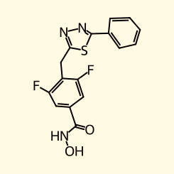 O=C(NO)c1cc(F)c(Cc2nnc(-c3ccccc3)s2)c(F)c1